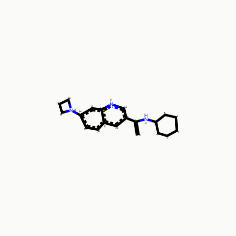 C=C(NC1CCCCC1)c1cnc2cc(N3CCC3)ccc2c1